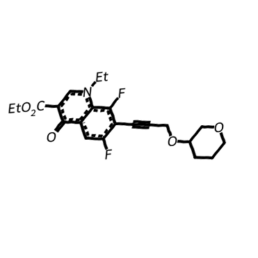 CCOC(=O)c1cn(CC)c2c(F)c(C#CCOC3CCCOC3)c(F)cc2c1=O